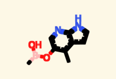 CB(O)Oc1cnc2[nH]ccc2c1C